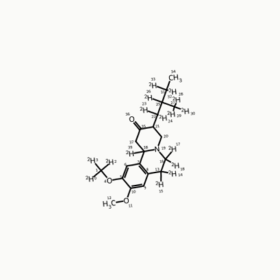 [2H]C([2H])([2H])Oc1cc2c(cc1OC)C([2H])([2H])C([2H])([2H])N1CC(C([2H])([2H])C([2H])(C([2H])([2H])[2H])C([2H])([2H])C)C(=O)CC21[2H]